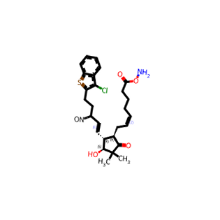 CC1(C)C(=O)[C@H](C/C=C\CCCC(=O)ON)[C@@H](/C=C/C(CCc2sc3ccccc3c2Cl)N=O)[C@@H]1O